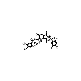 O=C1CC2=C(C(=O)N(OS(=O)(=O)c3cc(Cl)c(Cl)cc3Cl)C2=O)C2=C[N+](=O)C(OS(=O)(=O)c3cc(Cl)c(Cl)cc3Cl)C12